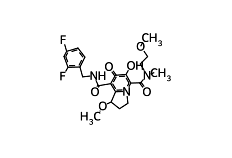 COCCN(C)C(=O)c1c(O)c(=O)c(C(=O)NCc2ccc(F)cc2F)c2n1CCC2OC